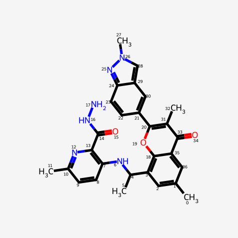 Cc1cc(C(C)Nc2ccc(C)nc2C(=O)NN)c2oc(-c3ccc4nn(C)cc4c3)c(C)c(=O)c2c1